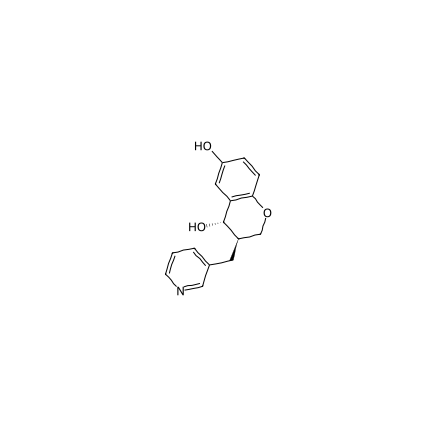 Oc1ccc2c(c1)[C@@H](O)[C@H](Cc1cccnc1)CO2